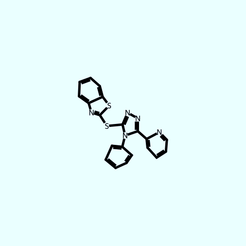 c1ccc(-n2c(Sc3nc4ccccc4s3)nnc2-c2ccccn2)cc1